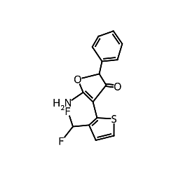 NC1=C(c2sccc2C(F)F)C(=O)C(c2ccccc2)O1